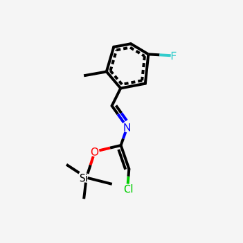 Cc1ccc(F)cc1/C=N/C(=C/Cl)O[Si](C)(C)C